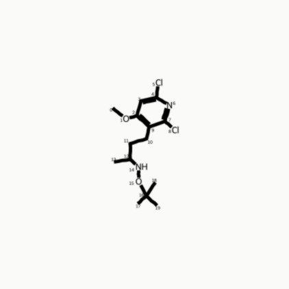 COc1cc(Cl)nc(Cl)c1CCC(C)NOC(C)(C)C